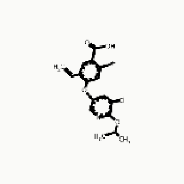 C=Cc1cc(C(=O)O)c(F)cc1Oc1cnc(OC(C)C)c(Cl)c1